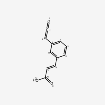 O=C=Nc1cccc(/C=C/C(=O)O)c1